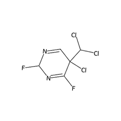 FC1=NC(F)N=CC1(Cl)C(Cl)Cl